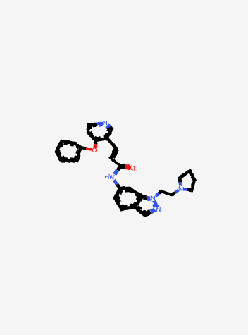 O=C(C=Cc1cnccc1Oc1ccccc1)Nc1ccc2cnn(CCN3CCCC3)c2c1